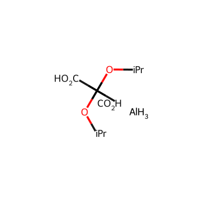 CC(C)OC(OC(C)C)(C(=O)O)C(=O)O.[AlH3]